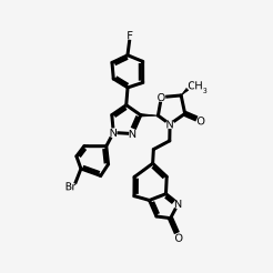 C[C@@H]1O[C@H](c2nn(-c3ccc(Br)cc3)cc2-c2ccc(F)cc2)N(CCc2ccc3c(c2)=NC(=O)C=3)C1=O